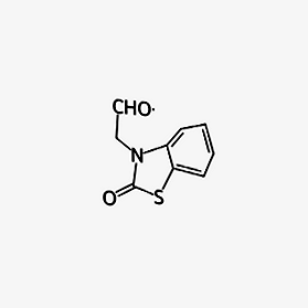 O=[C]Cn1c(=O)sc2ccccc21